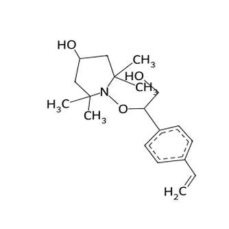 C=Cc1ccc(C(CO)ON2C(C)(C)CC(O)CC2(C)C)cc1